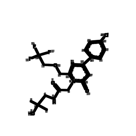 CC(C)(O)CNC(=O)Cn1c(COCC(F)(F)F)nc(-c2ccc(Cl)cc2)cc1=O